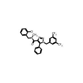 CN(Cc1ccccc1Cl)C(=O)c1nnn(Cc2cc(C(F)(F)F)cc(C(F)(F)F)c2)c1-c1ccccc1